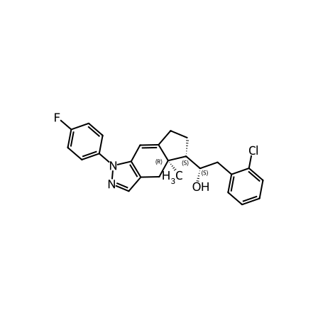 C[C@]12Cc3cnn(-c4ccc(F)cc4)c3C=C1CC[C@@H]2[C@@H](O)Cc1ccccc1Cl